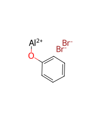 [Al+2][O]c1ccccc1.[Br-].[Br-]